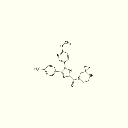 COc1ccc(-n2nc(C(=O)N3CCNC4(CC4)C3)nc2-c2ccc(C)cc2)cn1